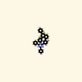 c1ccc(-c2nc(-c3ccccc3)nc(-c3ccc4sc5ccc6c7sc8ccccc8c7c7sc8ccccc8c7c6c5c4c3)n2)cc1